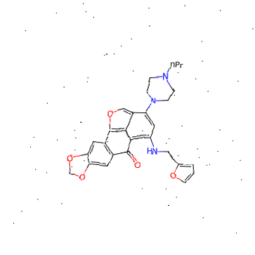 CCCN1CCN(c2cc(NCc3ccco3)c3c4c(occ24)-c2cc4c(cc2C3=O)OCO4)CC1